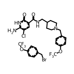 FC(F)(F)Oc1ccc(CBr)cc1.Nc1[nH]c(=O)c(C(=O)NCC2CCN(Cc3ccc(OC(F)(F)F)cc3)CC2)cc1Cl